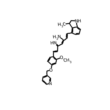 COc1cc(OCc2cccnc2)ccc1/C=C/C(=N)/C=C(N)/C=C/c1cccc2c1C(C)CN2